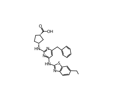 CCc1ccc2nc(Nc3cc(Cc4ccccc4)nc(N[C@H]4CC[C@@H](C(=O)O)C4)n3)sc2c1